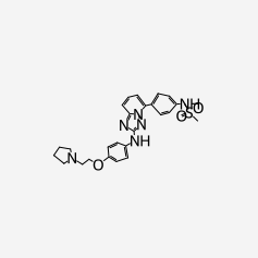 CS(=O)(=O)Nc1ccc(-c2cccc3nc(Nc4ccc(OCCN5CCCC5)cc4)nn23)cc1